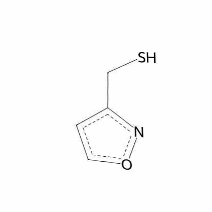 SCc1ccon1